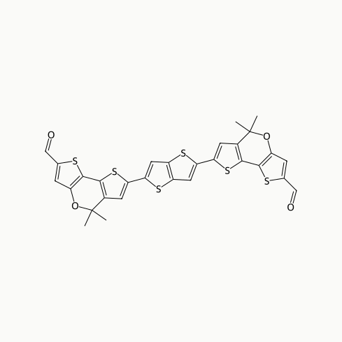 CC1(C)Oc2cc(C=O)sc2-c2sc(-c3cc4sc(-c5cc6c(s5)-c5sc(C=O)cc5OC6(C)C)cc4s3)cc21